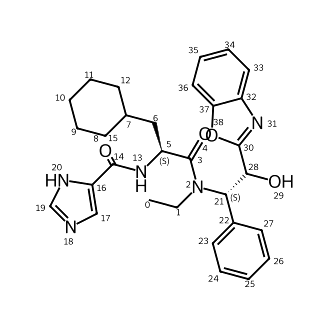 CCN(C(=O)[C@H](CC1CCCCC1)NC(=O)c1cnc[nH]1)[C@@H](c1ccccc1)C(O)c1nc2ccccc2o1